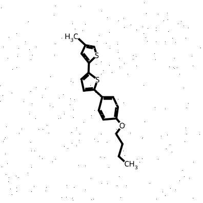 CCCCOc1ccc(-c2ccc(-c3cc(C)cs3)s2)cc1